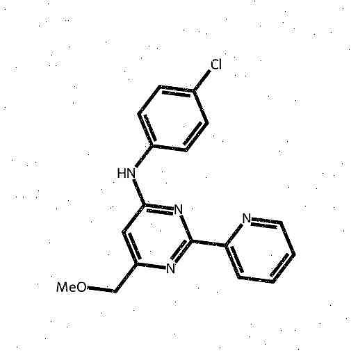 COCc1cc(Nc2ccc(Cl)cc2)nc(-c2ccccn2)n1